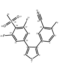 Cc1ccc(-c2cscc2-c2cc(F)c(S(C)(=O)=O)c(F)c2)cc1C#N